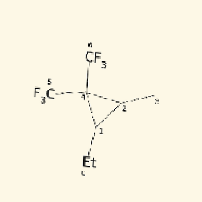 CCC1C(C)C1(C(F)(F)F)C(F)(F)F